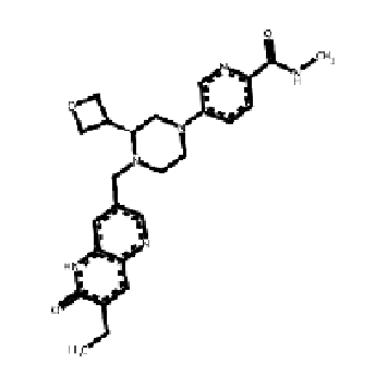 CCc1cc2ncc(CN3CCN(c4ccc(C(=O)NC)nc4)C[C@@H]3C3COC3)cc2[nH]c1=O